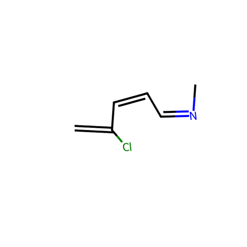 C=C(Cl)/C=C\C=N/C